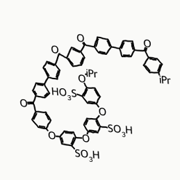 CC(C)Oc1ccc(Oc2ccc(Oc3ccc(Oc4ccc(C(=O)c5ccc(-c6ccc(C(=O)c7cccc(C(=O)c8ccc(-c9ccc(C(=O)c%10ccc(C(C)C)cc%10)cc9)cc8)c7)cc6)cc5)cc4)cc3S(=O)(=O)O)cc2S(=O)(=O)O)cc1S(=O)(=O)O